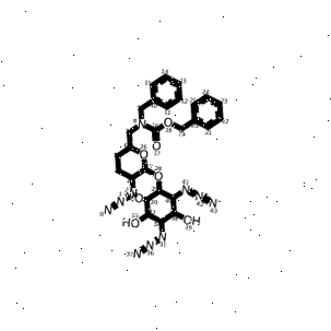 [N-]=[N+]=NC1CCC(CN(Cc2ccccc2)C(=O)OCc2ccccc2)OC1OC1C(O)C(O)C(N=[N+]=[N-])C(O)C1N=[N+]=[N-]